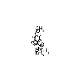 COCc1ccc2c(C(=O)N(C)OC)coc2c1